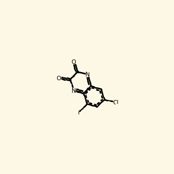 O=C1N=c2cc(Cl)cc(I)c2=NC1=O